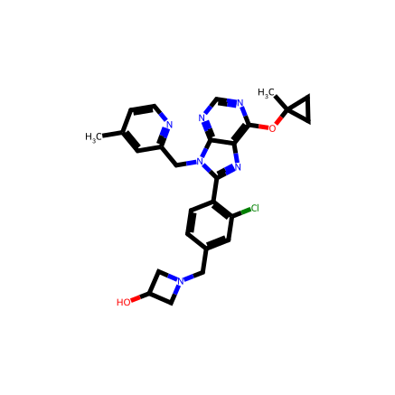 Cc1ccnc(Cn2c(-c3ccc(CN4CC(O)C4)cc3Cl)nc3c(OC4(C)CC4)ncnc32)c1